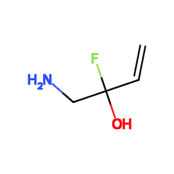 C=CC(O)(F)CN